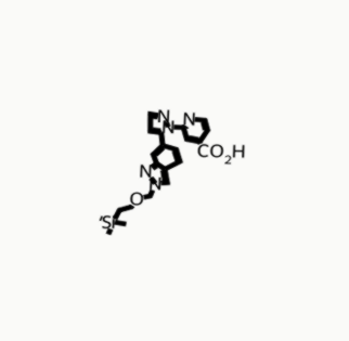 C[Si](C)(C)CCOCn1cc2ccc(-c3ccnn3-c3cc(C(=O)O)ccn3)cc2n1